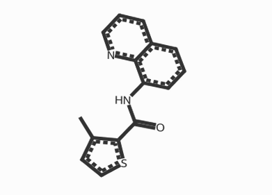 Cc1ccsc1C(=O)Nc1cccc2cccnc12